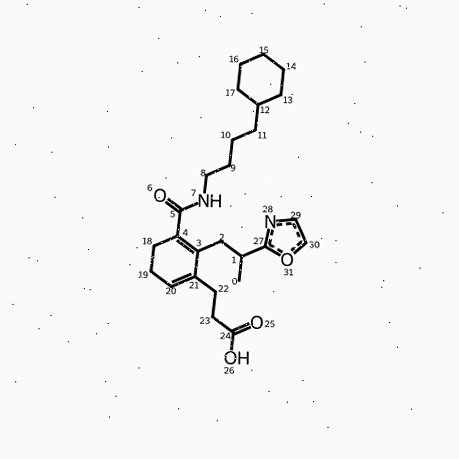 CC(CC1=C(C(=O)NCCCCC2CCCCC2)CCC=C1CCC(=O)O)c1ncco1